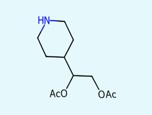 CC(=O)OCC(OC(C)=O)C1CCNCC1